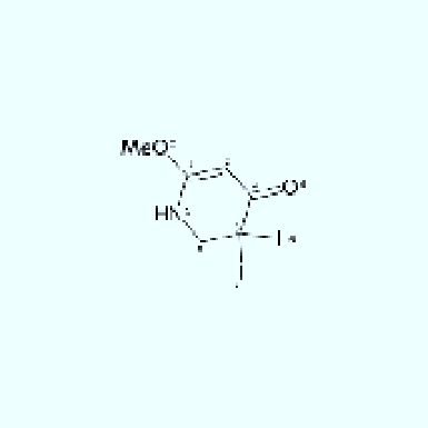 COC1=CC(=O)C(I)(I)CN1